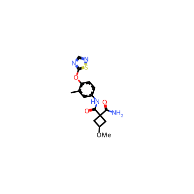 COC1CC(C(N)=O)(C(=O)Nc2ccc(Oc3ncns3)c(C)c2)C1